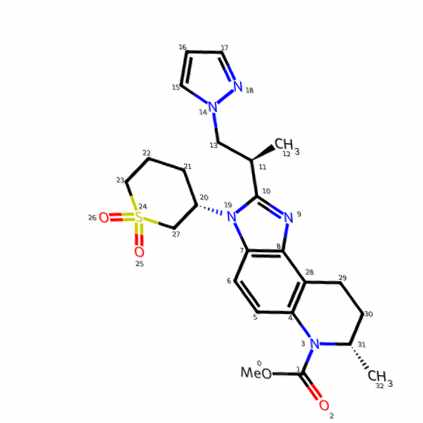 COC(=O)N1c2ccc3c(nc([C@H](C)Cn4cccn4)n3[C@H]3CCCS(=O)(=O)C3)c2CC[C@@H]1C